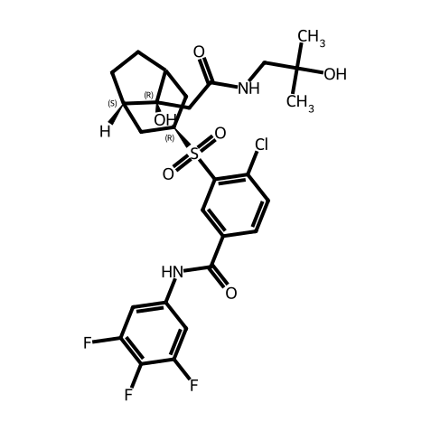 CC(C)(O)CNC(=O)C[C@@]1(O)C2CC[C@H]1C[C@H](S(=O)(=O)c1cc(C(=O)Nc3cc(F)c(F)c(F)c3)ccc1Cl)C2